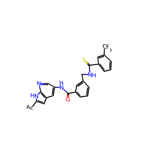 CC(=O)c1cc2cc(NC(=O)c3cccc(CNC(=S)c4cccc(C(F)(F)F)c4)c3)cnc2[nH]1